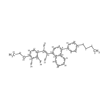 CCCCc1ccc(-c2ccc(/C(F)=C(\F)c3ccc(OCC)c(F)c3F)c3ccccc23)cc1